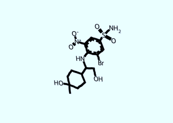 CC1(O)CCC(C(CO)Nc2c(Br)cc(S(N)(=O)=O)cc2[N+](=O)[O-])CC1